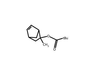 CC(C)(C)C(=O)OC1(C)CC2C=CC1C2